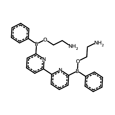 NCCOB(c1ccccc1)c1cccc(-c2cccc(B(OCCN)c3ccccc3)n2)n1